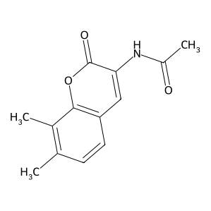 CC(=O)Nc1cc2ccc(C)c(C)c2oc1=O